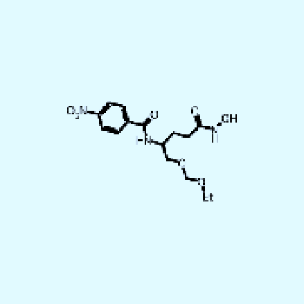 CCOCOCC(CCC(=O)NO)NC(=O)c1ccc([N+](=O)[O-])cc1